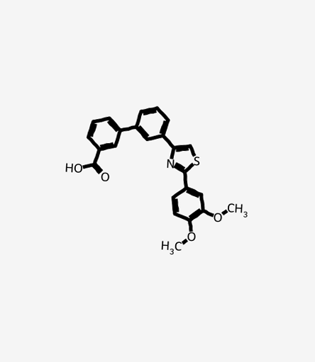 COc1ccc(-c2nc(-c3cccc(-c4cccc(C(=O)O)c4)c3)cs2)cc1OC